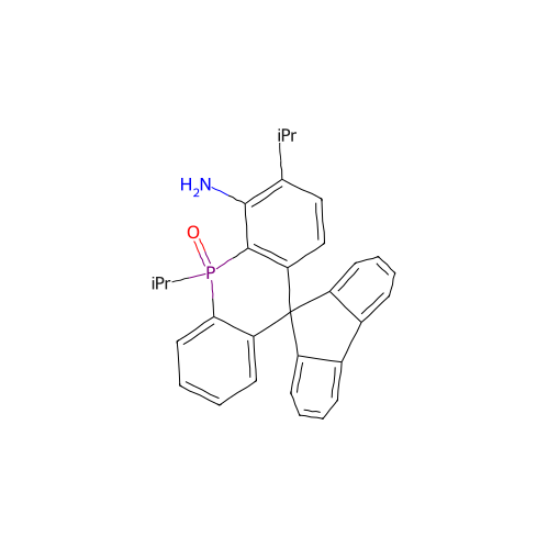 CC(C)c1ccc2c(c1N)P(=O)(C(C)C)c1ccccc1C21c2ccccc2-c2ccccc21